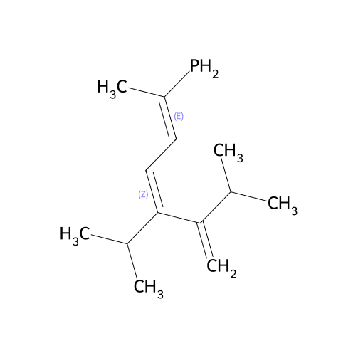 C=C(/C(=C\C=C(/C)P)C(C)C)C(C)C